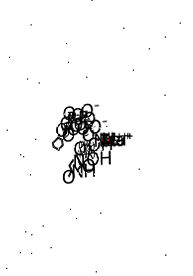 O=c1ccn([C@@H]2O[C@H](COP(=O)([O-])OP(=O)([O-])OP(=O)([O-])OP(=O)([O-])Oc3ccccc3)[C@@H](O)[C@H]2O)c(=O)[nH]1.[Na+].[Na+].[Na+].[Na+]